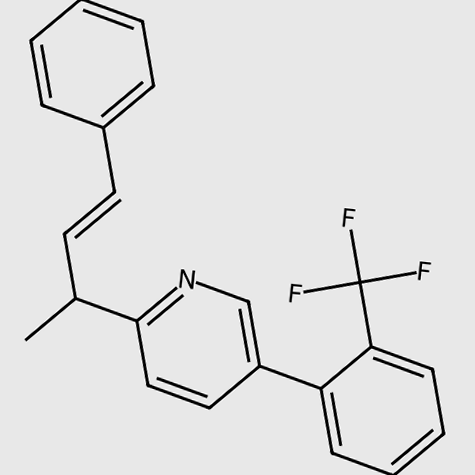 CC(C=Cc1ccccc1)c1ccc(-c2ccccc2C(F)(F)F)cn1